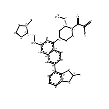 C=C(F)C(=O)N1CCN(c2nc(OC[C@@H]3CCCN3C)nc3nc(-c4cccc5c4CC(C)C5)ccc23)C[C@@H]1CC#N